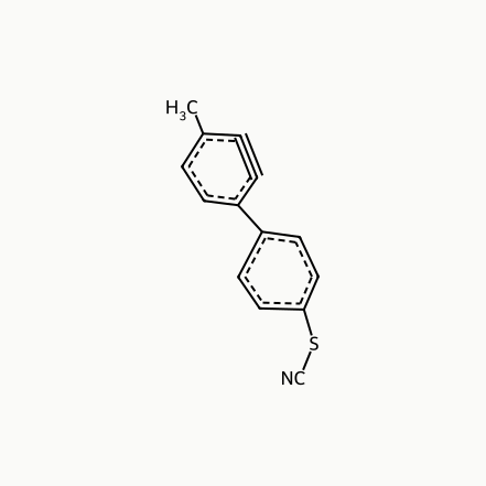 Cc1c#cc(-c2ccc(SC#N)cc2)cc1